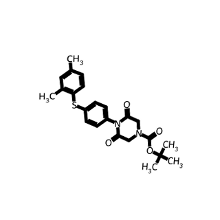 Cc1ccc(Sc2ccc(N3C(=O)CN(C(=O)OC(C)(C)C)CC3=O)cc2)c(C)c1